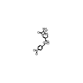 Cl.NC1C(=O)N2C=C(C(=O)OCc3ccc([N+](=O)[O-])cc3)CS[C@H]12